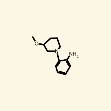 COC1CCCN(c2ccccc2N)C1